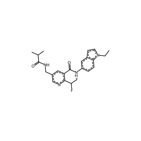 CCn1ccc2cc(NC(=O)c3cc(CNC(=O)C(C)C)cnc3C(F)F)ccc21